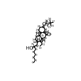 CCCCCC[C@](C)(O)[C@H]1CC[C@H]2[C@@H]3CC(=O)[C@H]4C[C@@H](O[Si](C)(C)C(C)(C)C)CC[C@]4(C)[C@H]3CC[C@@]21C